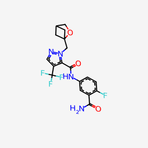 NC(=O)c1cc(NC(=O)c2c(C(F)(F)F)cnn2CC23CC(CO2)C3)ccc1F